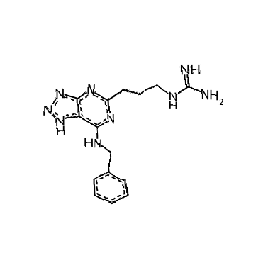 N=C(N)NCCCc1nc(NCc2ccccc2)c2[nH]nnc2n1